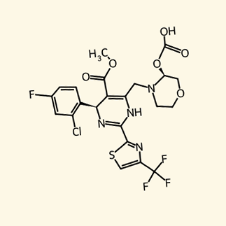 COC(=O)C1=C(CN2CCOC[C@@H]2OC(=O)O)NC(c2nc(C(F)(F)F)cs2)=N[C@H]1c1ccc(F)cc1Cl